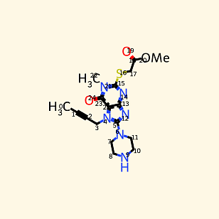 CC#CCn1c(N2CCNCC2)nc2nc(SCC(=O)OC)n(C)c(=O)c21